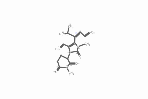 C=C/C=C(\c1c(C=C)n(C2CCC(=O)N(C)C2=O)c(=O)n1C)C(C)C